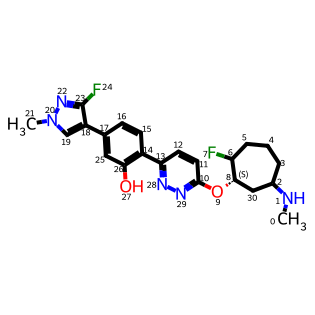 CNC1CCCC(F)[C@@H](Oc2ccc(-c3ccc(-c4cn(C)nc4F)cc3O)nn2)C1